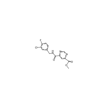 COC(=O)c1cc(C(=O)NCc2ccc(F)c(Cl)c2)ncn1